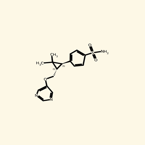 CC1(C)[C@@H](COc2cncnc2)[C@@H]1c1ccc(S(N)(=O)=O)cc1